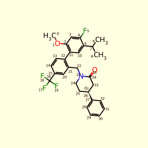 COc1cc(F)c(C(C)C)cc1-c1ccc(C(F)(F)F)cc1CN1CC[C@H](c2ccccc2)CC1=O